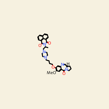 COc1cc2c(cc1OCCCCN1CCN(CC(C)N3C(=O)c4cccc5cccc(c45)C3=O)CC1)N=C[C@@H]1CCCN1C2=O